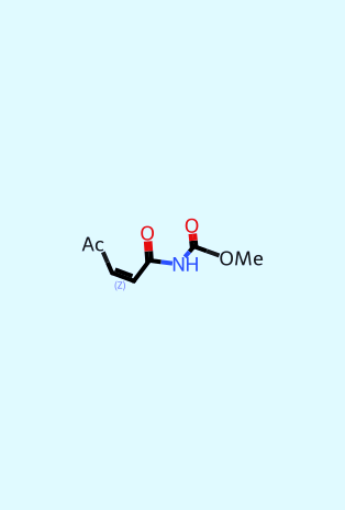 COC(=O)NC(=O)/C=C\C(C)=O